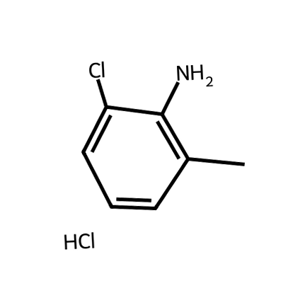 Cc1cccc(Cl)c1N.Cl